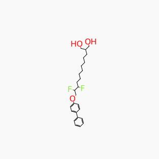 OCC(CO)CCCCCCCCC(F)C(F)COc1ccc(-c2ccccc2)cc1